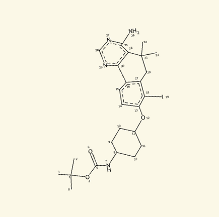 CC(C)(C)OC(=O)NC1CCC(Oc2ccc3c(c2I)CC(C)(C)c2c(N)ncnc2-3)CC1